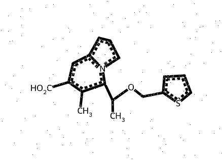 Cc1c(C(=O)O)cc2cccn2c1C(C)OCc1cccs1